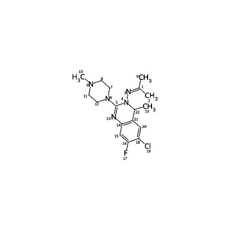 CC(C)=NN1C(N2CCN(C)CC2)=Nc2cc(F)c(Cl)cc2C1C